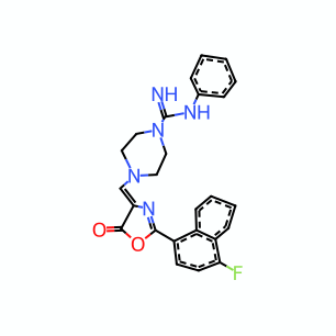 N=C(Nc1ccccc1)N1CCN(C=C2N=C(c3ccc(F)c4ccccc34)OC2=O)CC1